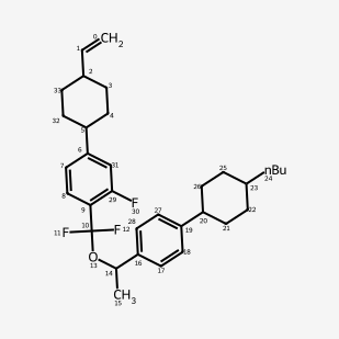 C=CC1CCC(c2ccc(C(F)(F)OC(C)c3ccc(C4CCC(CCCC)CC4)cc3)c(F)c2)CC1